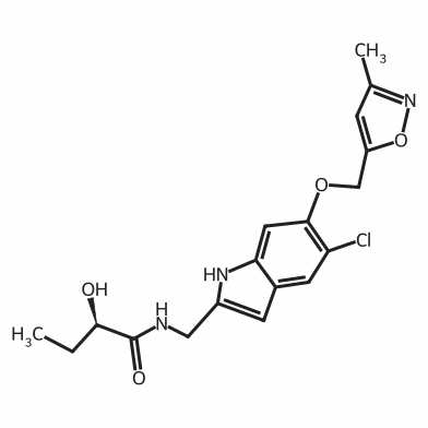 CC[C@@H](O)C(=O)NCc1cc2cc(Cl)c(OCc3cc(C)no3)cc2[nH]1